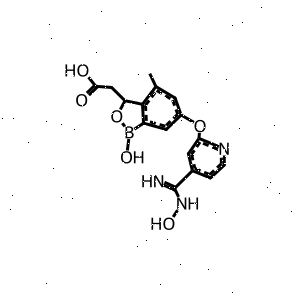 Cc1cc(Oc2cc(C(=N)NO)ccn2)cc2c1C(CC(=O)O)OB2O